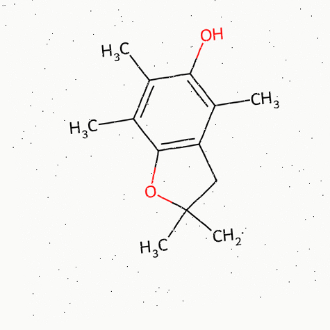 [CH2]C1(C)Cc2c(C)c(O)c(C)c(C)c2O1